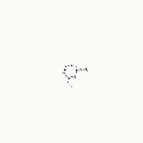 C=N/N=C(C)\N=C/C